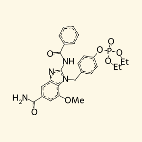 CCOP(=O)(OCC)Oc1ccc(Cn2c(NC(=O)c3ccccc3)nc3cc(C(N)=O)cc(OC)c32)cc1